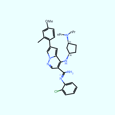 CCCN(CCC)[C@H]1CC[C@@H](Nc2c(/C(N)=N/c3ccccc3Cl)cnn3cc(-c4ccc(OC)cc4C)cc23)C1